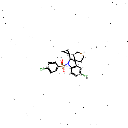 O=S(=O)(c1ccc(Cl)cc1)N1c2ccc(Br)cc2C2(CCSCC2)C1C1CC1